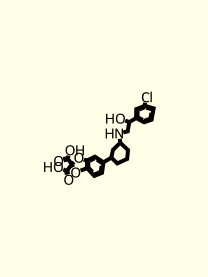 O=C(O)C1(C(=O)O)Oc2ccc(C3CCCC(NCC(O)c4cccc(Cl)c4)C3)cc2O1